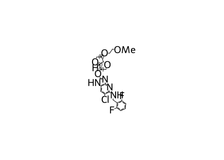 COCCO[C@@H]1CO[C@H]2C1OC[C@H]2Oc1nc2nc(NCc3c(F)cccc3F)c(Cl)cc2[nH]1